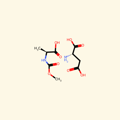 COC(=O)N[C@@H](C)C(=O)O.N[C@@H](CC(=O)O)C(=O)O